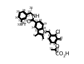 Cc1c(C)n(Cc2ccc(OC(C)C(=O)O)c(F)c2Cl)c2ccc(C(=O)N[C@@H](C)c3cccc(C(C)C)c3)cc12